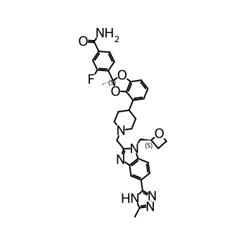 Cc1nnc(-c2ccc3c(c2)nc(CN2CCC(c4cccc5c4O[C@@](C)(c4ccc(C(N)=O)cc4F)O5)CC2)n3C[C@@H]2CCO2)[nH]1